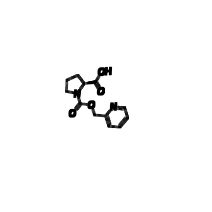 O=C(O)[C@@H]1CCCN1C(=O)OCc1ccccn1